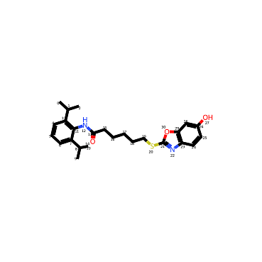 CC(C)c1cccc(C(C)C)c1NC(=O)CCCCCSc1nc2ccc(O)cc2o1